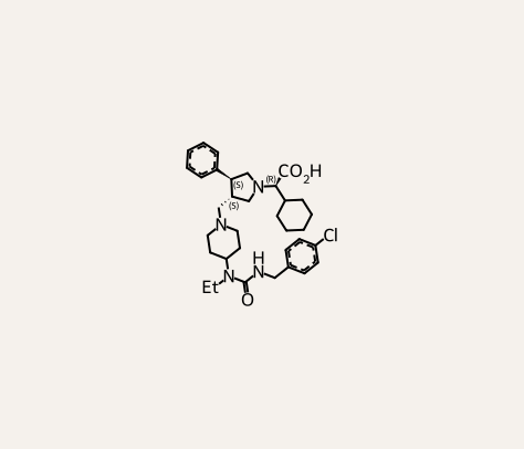 CCN(C(=O)NCc1ccc(Cl)cc1)C1CCN(C[C@H]2CN([C@@H](C(=O)O)C3CCCCC3)C[C@@H]2c2ccccc2)CC1